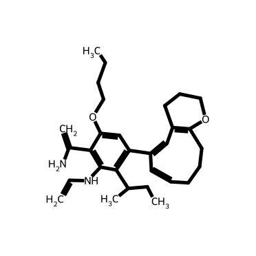 C=CNc1c(C(=C)N)c(OCCCC)cc(C2=C\C3=C(CCC/C=C\2)OCCC3)c1C(C)CC